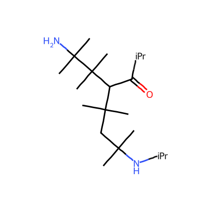 CC(C)NC(C)(C)CC(C)(C)C(C(=O)C(C)C)C(C)(C)C(C)(C)N